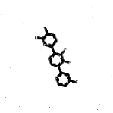 Cc1ccc(-c2ccc(-c3cccc(F)c3)c(F)c2F)cc1F